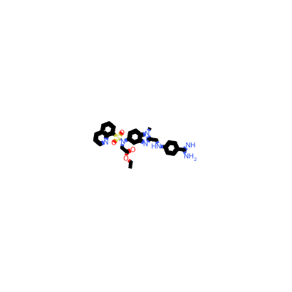 CCOC(=O)CN(c1ccc2c(c1)nc(CNc1ccc(C(=N)N)cc1)n2C)S(=O)(=O)c1cccc2cccnc12